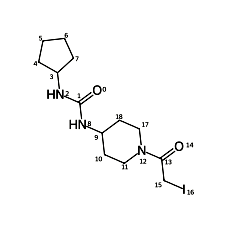 O=C(NC1CCCC1)NC1CCN(C(=O)CI)CC1